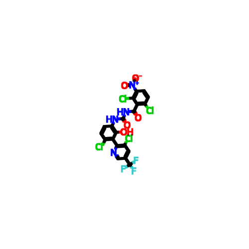 O=C(NC(=O)c1c(Cl)ccc([N+](=O)[O-])c1Cl)Nc1ccc(Cl)c(-c2ncc(C(F)(F)F)cc2Cl)c1O